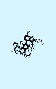 C[C@@H](Oc1nc2c3c(c(Cl)c(-c4ccc(F)c5sc(N)c(C#N)c45)c(F)c3n1)OC[C@H](C)N2C)[C@@H]1CCCN1C